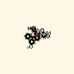 COc1ccc(C(O[C@H]2[C@H](Cl)[C@H](n3ccc(=O)[nH]c3=O)O[C@@]2(CO)CSC)(c2ccccc2)c2ccccc2)cc1